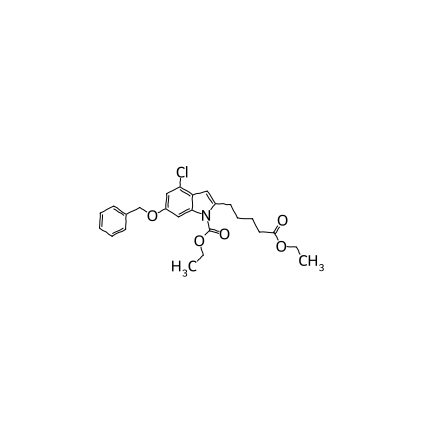 CCOC(=O)CCCCc1cc2c(Cl)cc(OCc3ccccc3)cc2n1C(=O)OCC